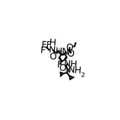 CCOC(=O)Nc1cc(NC(=O)[C@@H](N)C(C2CC2)C2CC2)c(F)cc1[C@@H](C)C(=O)NCC(F)(F)F